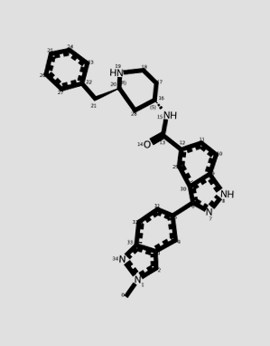 Cn1cc2cc(-c3n[nH]c4ccc(C(=O)N[C@H]5CCN[C@H](Cc6ccccc6)C5)cc34)ccc2n1